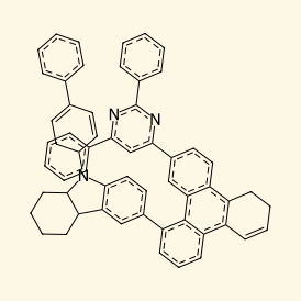 C1=Cc2c(c3ccc(-c4cc(-c5ccccc5)nc(-c5ccccc5)n4)cc3c3c(-c4ccc5c(c4)C4CCCCC4N5C4C=CC(c5ccccc5)=CC4)cccc23)CC1